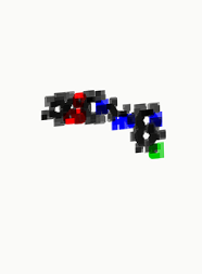 Clc1ccc2c(NCCCN3CCC4(CC3)OCC3(CCCC3)OO4)ccnc2c1